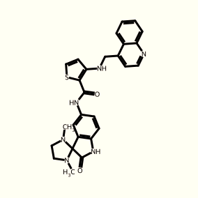 CN1CCN(C)C12C(=O)Nc1ccc(NC(=O)c3sccc3NCc3ccnc4ccccc34)cc12